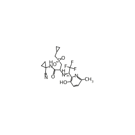 Cc1ccc(O)c([C@@H](NC(CS(=O)(=O)CC2CC2)C(=O)NC2(C#N)CC2)C(F)(F)F)n1